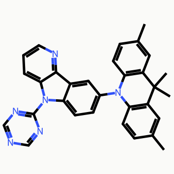 Cc1ccc2c(c1)C(C)(C)c1cc(C)ccc1N2c1ccc2c(c1)c1ncccc1n2-c1ncncn1